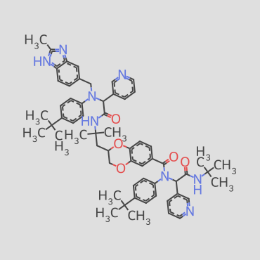 Cc1nc2cc(CN(c3ccc(C(C)(C)C)cc3)C(C(=O)NC(C)(C)CC3COc4cc(C(=O)N(c5ccc(C(C)(C)C)cc5)C(C(=O)NC(C)(C)C)c5cccnc5)ccc4O3)c3cccnc3)ccc2[nH]1